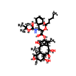 CCCCC(=O)O[C@@H](C(=O)O[C@H]1C[C@@]2(O)[C@@H](C)C3[C@]4(C)CO[C@@H]4C[C@H](O)[C@@]3(C)C(=O)[C@H](O)C(=C1C)C2(C)C)[C@@H](NC(=O)OC(C)(C)C)c1ccccc1